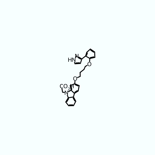 O=C(O)Cn1c2ccccc2c2ccc(OCCCCOc3ccccc3-c3cc[nH]n3)cc21